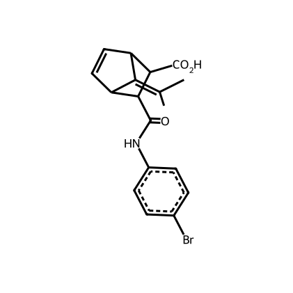 CC(C)=C1C2C=CC1C(C(=O)Nc1ccc(Br)cc1)C2C(=O)O